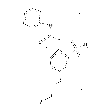 CCCCc1ccc(OC(=O)Nc2ccccc2)c(S(N)(=O)=O)c1